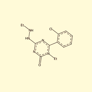 CCNNc1nc(-c2ccccc2Cl)n(CC)c(=O)n1